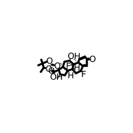 CC(OC(=O)O[C@]1(C(=O)O)[C@H](C)C[C@H]2[C@@H]3C[C@H](F)C4=CC(=O)C=C[C@]4(C)[C@@]3(F)[C@@H](O)C[C@@]21C)C(C)(C)C